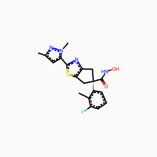 Cc1cc(-c2nc3c(s2)C[C@@](C(=O)NO)(c2cccc(F)c2C)C3)n(C)n1